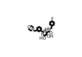 O=C(NCc1ccc(F)cc1)c1nc(-c2cccc(CN3CCOCC3)c2)nc(O)c1O